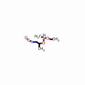 CCO[SiH](C)OC(C)CN=C=O